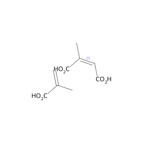 C/C(=C/C(=O)O)C(=O)O.C=C(C)C(=O)O